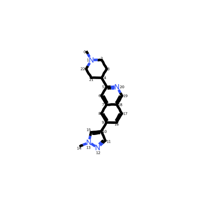 CN1CCC(c2cc3cc(-c4cnn(C)c4)ccc3cn2)CC1